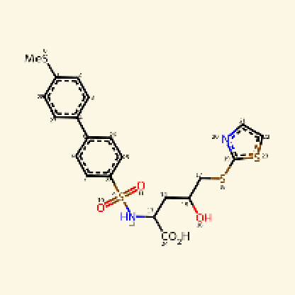 CSc1ccc(-c2ccc(S(=O)(=O)NC(CC(O)CSc3nccs3)C(=O)O)cc2)cc1